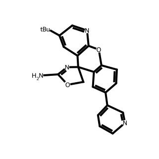 CC(C)(C)c1cnc2c(c1)C1(COC(N)=N1)c1cc(-c3cccnc3)ccc1O2